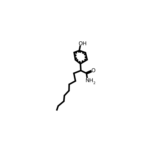 CCCCCCCCC(C(N)=O)c1ccc(O)cc1